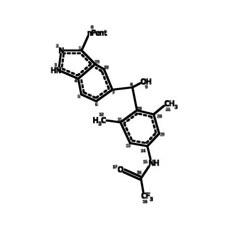 CCCCCc1n[nH]c2ccc(C(O)c3c(C)cc(NC(=O)C(F)(F)F)cc3C)cc12